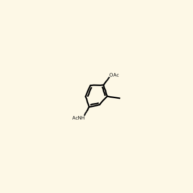 CC(=O)Nc1ccc(OC(C)=O)c(C)c1